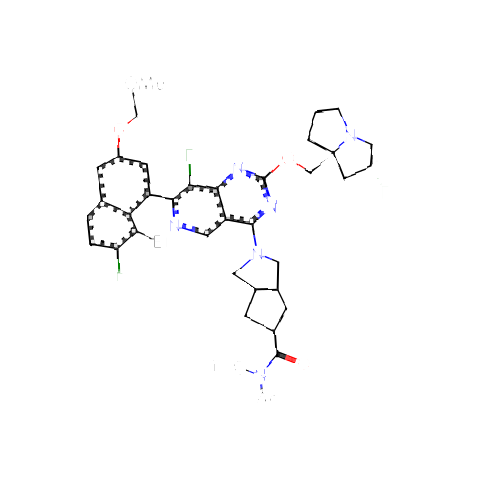 CCc1c(F)ccc2cc(OCOC)cc(-c3ncc4c(N5CC6CC(C(=O)N(C)C(C)=O)CC6C5)nc(OC[C@@]56CCCN5C[C@H](F)C6)nc4c3F)c12